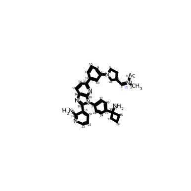 CC(=O)/[N+](C)=C\C1CCN(c2cccc(-c3ccc4nc(-c5cccnc5N)n(-c5ccc(C6(N)CCC6)cc5)c4n3)c2)C1